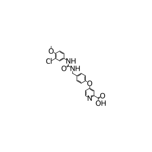 COc1ccc(NC(=O)NCc2ccc(Oc3ccnc(C(=O)O)c3)cc2)cc1Cl